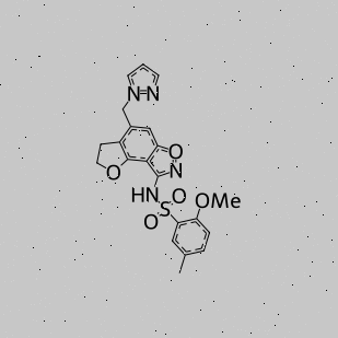 COc1ccc(C)cc1S(=O)(=O)Nc1noc2cc(Cn3cccn3)c3c(c12)OCC3